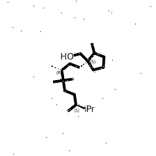 CC(C)[C@@H](C)CCC(C)(C)[C@H](C)CC[C@@]1(CO)CCCC1C